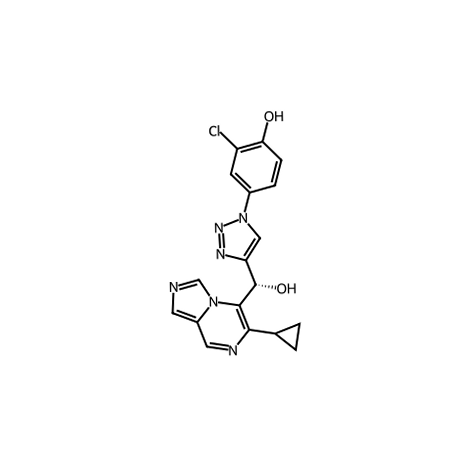 Oc1ccc(-n2cc([C@H](O)c3c(C4CC4)ncc4cncn34)nn2)cc1Cl